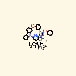 C[n+]1cc(Oc2ccccc2)n(-c2cccc(Oc3ccc4c5ccccc5n(-c5cc(C(C)(C)C)ccn5)c4c3)c2)c1.[Pt+2]